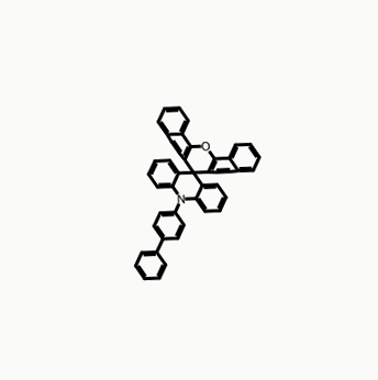 c1ccc(-c2ccc(N3c4ccccc4C4(c5ccccc53)c3ccc5ccccc5c3Oc3c4ccc4ccccc34)cc2)cc1